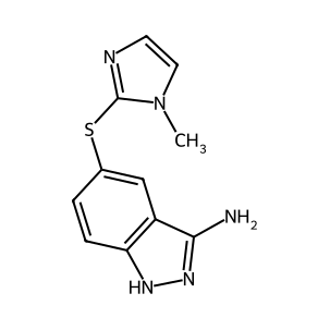 Cn1ccnc1Sc1ccc2[nH]nc(N)c2c1